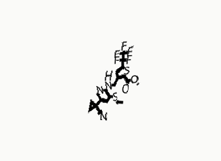 CCSc1cc(C2(C#N)CC2)cnc1NCc1cc(C(F)(F)C(F)(F)F)sc1C(=O)OC